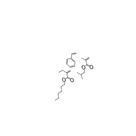 C=C(C)C(=O)OCC(C)C.C=C(CC)C(=O)OCCCCCC.C=Cc1ccccc1